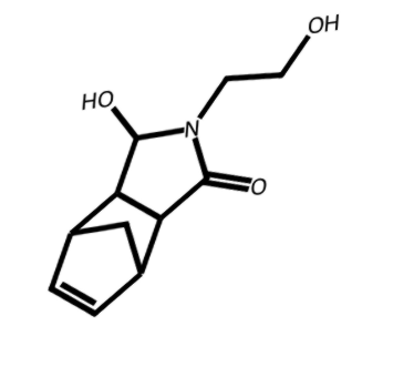 O=C1C2C3C=CC(C3)C2C(O)N1CCO